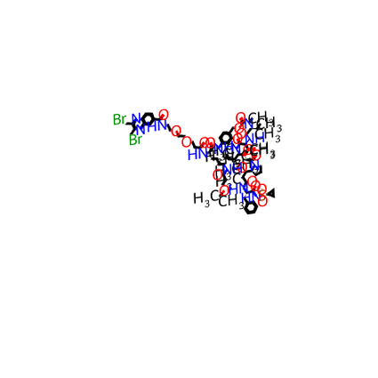 CC[C@H](C)[C@@H]([C@@H](CC(=O)N1CCC[C@H]1[C@H](OC)[C@@H](C)C(=O)N[C@@H](Cc1ccccc1)C(=O)NS(=O)(=O)C1CC1)OC)N(C)C(=O)[C@@H](NC(=O)[C@H](C(C)C)N(C)C(=O)OCc1ccc(NC(=O)[C@H](CCCCNC(=O)CCOC(C)C)NC(=O)CCOCCOCCNC(=O)c2ccc3nc(CBr)c(CBr)nc3c2)cc1)C(C)C